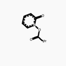 CC(C)C(=O)On1ccccc1=O